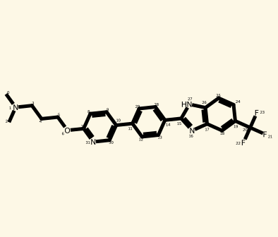 CN(C)CCCOc1ccc(-c2ccc(-c3nc4cc(C(F)(F)F)ccc4[nH]3)cc2)cn1